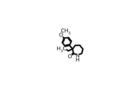 CCC1(c2ccc(OC)cc2)CCCCNC1=O